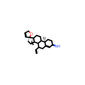 C=CC1CC2=CC(=N)CC[C@@H]2C2CC[C@@]3(CC)C(CC[C@@]34C=CCO4)C12